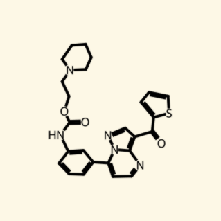 O=C(Nc1cccc(-c2ccnc3c(C(=O)c4cccs4)cnn23)c1)OCCN1CCCCC1